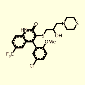 COc1ccc(Cl)cc1-c1c(SCC(O)CN2CCSCC2)c(=O)[nH]c2ccc(C(F)(F)F)cc12